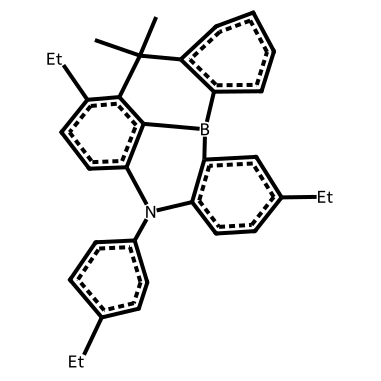 CCc1ccc(N2c3ccc(CC)cc3B3c4ccccc4C(C)(C)c4c(CC)ccc2c43)cc1